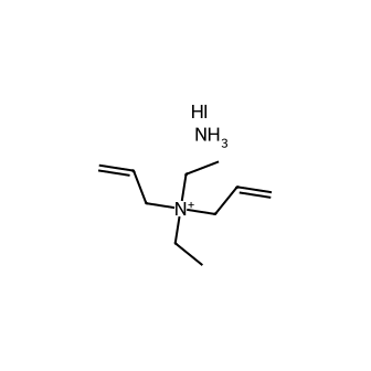 C=CC[N+](CC)(CC)CC=C.I.N